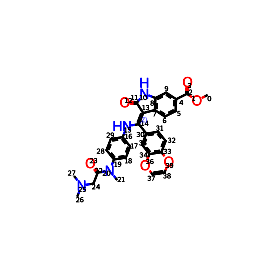 COC(=O)c1ccc2c(c1)NC(=O)/C2=C(\Nc1ccc(N(C)C(=O)CN(C)C)cc1)c1ccc2c(c1)OC=CO2